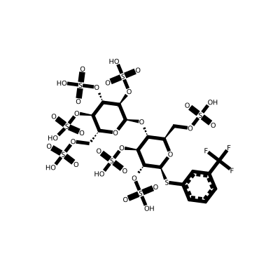 O=S(=O)(O)OC[C@H]1O[C@@H](Sc2cccc(C(F)(F)F)c2)[C@H](OS(=O)(=O)O)[C@@H](OS(=O)(=O)O)[C@@H]1O[C@H]1O[C@H](COS(=O)(=O)O)[C@@H](OS(=O)(=O)O)[C@H](OS(=O)(=O)O)[C@H]1OS(=O)(=O)O